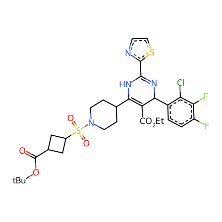 CCOC(=O)C1=C(C2CCN(S(=O)(=O)C3CC(C(=O)OC(C)(C)C)C3)CC2)NC(c2nccs2)=NC1c1ccc(F)c(F)c1Cl